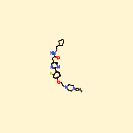 CN1CCN(CCOc2ccc(-c3ncc(CC(=O)NCCC4CCCC4)cn3)c(F)c2)CC1